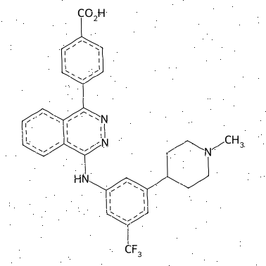 CN1CCC(c2cc(Nc3nnc(-c4ccc(C(=O)O)cc4)c4ccccc34)cc(C(F)(F)F)c2)CC1